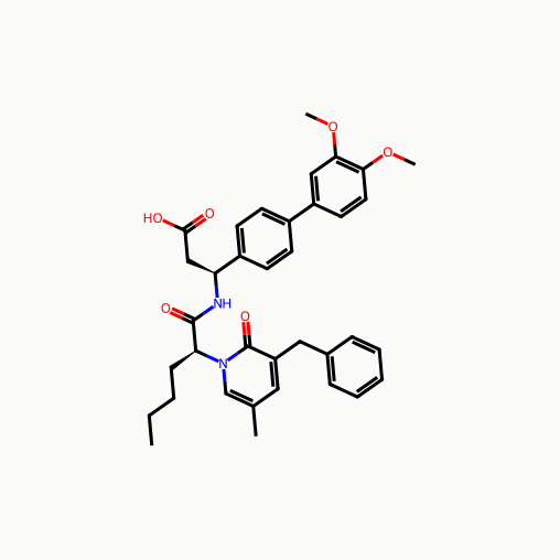 CCCC[C@@H](C(=O)N[C@@H](CC(=O)O)c1ccc(-c2ccc(OC)c(OC)c2)cc1)n1cc(C)cc(Cc2ccccc2)c1=O